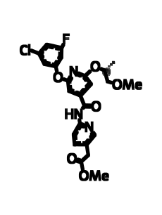 COC[C@@H](C)Oc1cc(C(=O)Nc2ccc(CC(=O)OC)cn2)cc(Oc2cc(F)cc(Cl)c2)n1